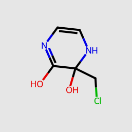 OC1=NC=CNC1(O)CCl